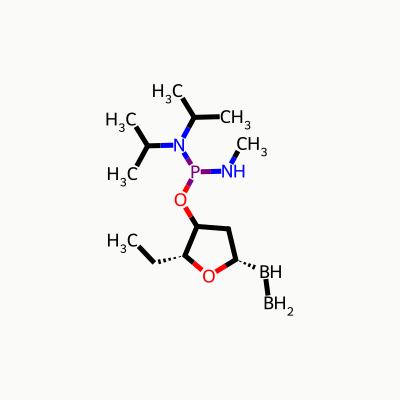 BB[C@H]1CC(OP(NC)N(C(C)C)C(C)C)[C@@H](CC)O1